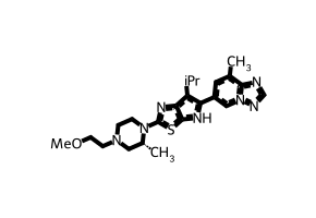 COCCN1CCN(c2nc3c(C(C)C)c(-c4cc(C)c5ncnn5c4)[nH]c3s2)[C@H](C)C1